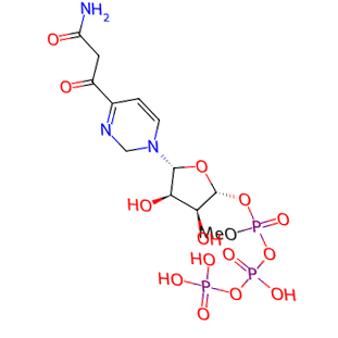 COP(=O)(O[C@H]1O[C@@H](N2C=CC(C(=O)CC(N)=O)=NC2)[C@H](O)[C@@H]1O)OP(=O)(O)OP(=O)(O)O